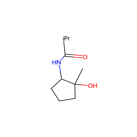 CC(C)C(=O)NC1CCCC1(C)O